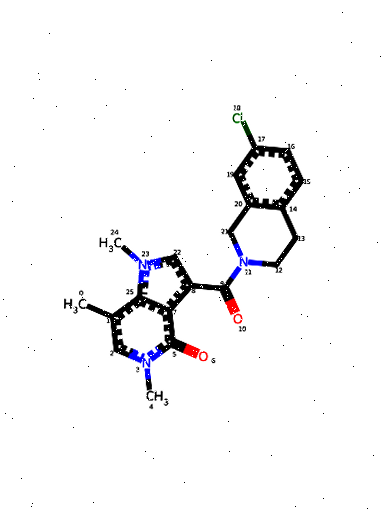 Cc1cn(C)c(=O)c2c(C(=O)N3CCc4ccc(Cl)cc4C3)cn(C)c12